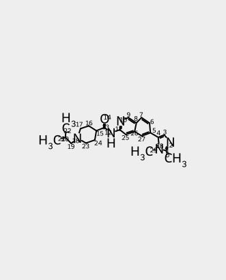 Cc1ncc(-c2ccc3cnc(NC(=O)C4CCN(CC(C)C)CC4)cc3c2)n1C